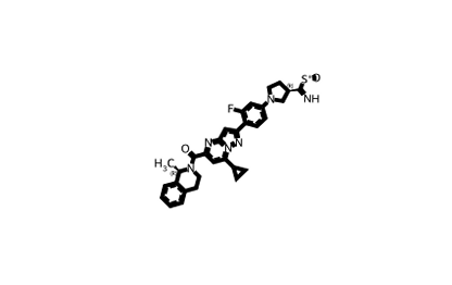 C[C@@H]1c2ccccc2CCN1C(=O)c1cc(C2CC2)n2nc(-c3ccc(N4CC[C@@H](C(=N)[S+]=O)C4)cc3F)cc2n1